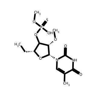 CC[C@H]1O[C@@H](n2cc(C)c(=O)[nH]c2=O)[C@@H](OC)C1OP(O)(=S)OC